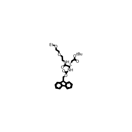 CCOCCOCCNC(=O)[C@H](CCC(=O)OC(C)(C)C)NC(=O)OCC1c2ccccc2-c2ccccc21